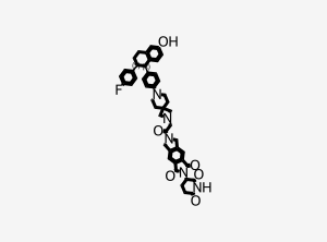 O=C1CCC(N2C(=O)c3cc4c(cc3C2=O)CN(C(=O)CN2CC3(CCN(c5ccc([C@@H]6c7ccc(O)cc7CC[C@@H]6c6ccc(F)cc6)cc5)CC3)C2)C4)C(=O)N1